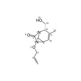 C=CCON1C(=O)N2CC1C=C(C)[C@H]2CO